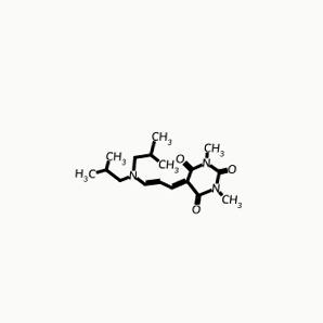 CC(C)CN(/C=C/C=C1C(=O)N(C)C(=O)N(C)C1=O)CC(C)C